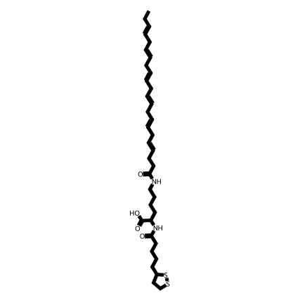 CCC=CCC=CCC=CCC=CCC=CCC=CCCC(=O)NCCCCC(NC(=O)CCCCC1CCSS1)C(=O)O